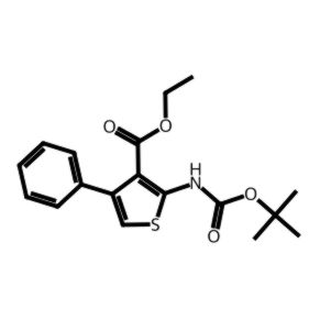 CCOC(=O)c1c(-c2ccccc2)csc1NC(=O)OC(C)(C)C